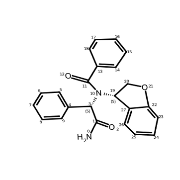 NC(=O)[C@H](c1ccccc1)N(C(=O)c1ccccc1)[C@@H]1COc2ccccc21